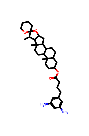 CC1C2C(CC3C4CCC5CC(OC(=O)CCCc6cc(N)cc(N)c6)CCC5(C)C4CCC32C)OC12CCCCO2